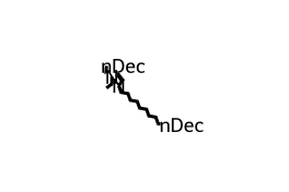 CCCCCCCCCCCCCCCCCCCN1C=CN(CCCCCCCCCCC)C1C